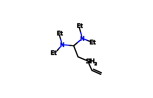 C=C[SiH2]CC(N(CC)CC)N(CC)CC